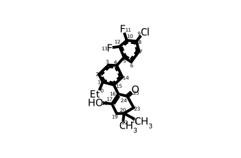 CCc1ccc(-c2ccc(Cl)c(F)c2F)cc1C1=C(O)CC(C)(C)CC1=O